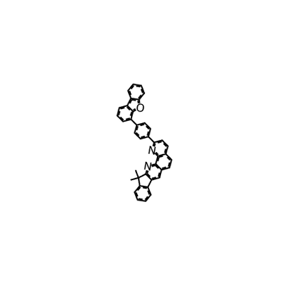 CC1(C)c2ccccc2-c2cc3ccc4ccc(-c5ccc(-c6cccc7c6oc6ccccc67)cc5)nc4c3nc21